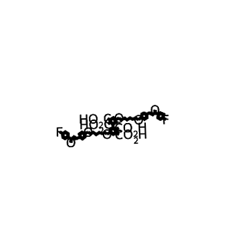 O=C(C=Cc1ccc(OCCCCCCOc2cc(C(=O)O)c(C(=O)O)c(-c3cc(OCCCCCCOc4ccc(C=CC(=O)c5ccc(F)cc5)cc4)cc(C(=O)O)c3C(=O)O)c2)cc1)c1ccc(F)cc1